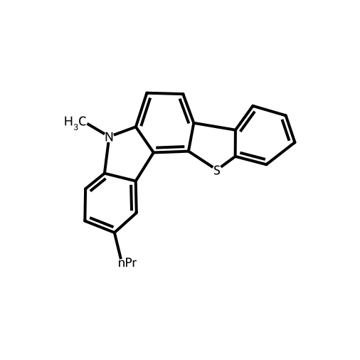 CCCc1ccc2c(c1)c1c3sc4ccccc4c3ccc1n2C